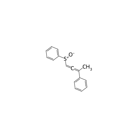 CC(=C=C[S+]([O-])c1ccccc1)c1ccccc1